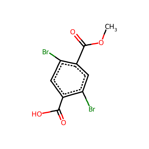 COC(=O)c1cc(Br)c(C(=O)O)cc1Br